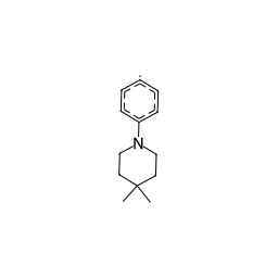 CC1(C)CCN(c2cc[c]cc2)CC1